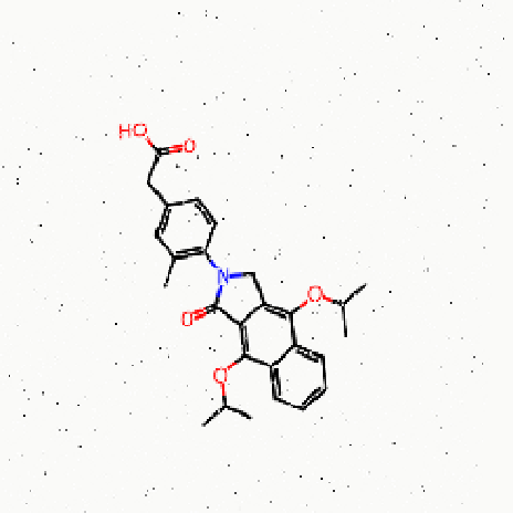 Cc1cc(CC(=O)O)ccc1N1Cc2c(c(OC(C)C)c3ccccc3c2OC(C)C)C1=O